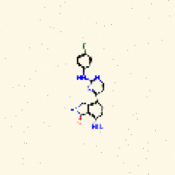 Nc1ccc(-c2ccnc(Nc3ccc(F)cc3)n2)c2c1C(=O)NC2